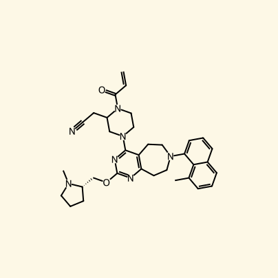 C=CC(=O)N1CCN(c2nc(OC[C@@H]3CCCN3C)nc3c2CCN(c2cccc4cccc(C)c24)CC3)CC1CC#N